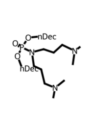 CCCCCCCCCCOP(=O)(OCCCCCCCCCC)N(CCCN(C)C)CCCN(C)C